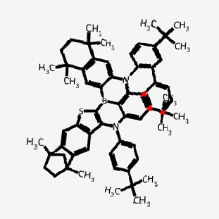 CC(C)(C)c1ccc(N2c3cc(C(C)(C)C)cc4c3B(c3cc5c(cc3N4c3ccc(C(C)(C)C)cc3-c3ccccc3)C(C)(C)CCC5(C)C)c3sc4cc5c(cc4c32)C2(C)CCC5(C)C2)cc1